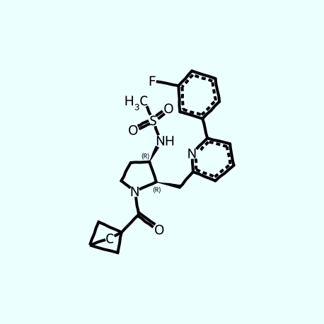 CS(=O)(=O)N[C@@H]1CCN(C(=O)C23CC(C2)C3)[C@@H]1Cc1cccc(-c2cccc(F)c2)n1